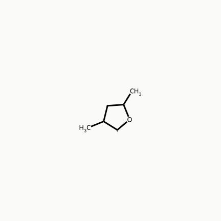 CC1[CH]OC(C)C1